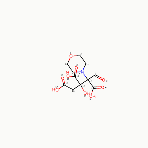 O=CC(C(=O)O)(N1CCOCC1)C(O)(CC(=O)O)C(=O)O